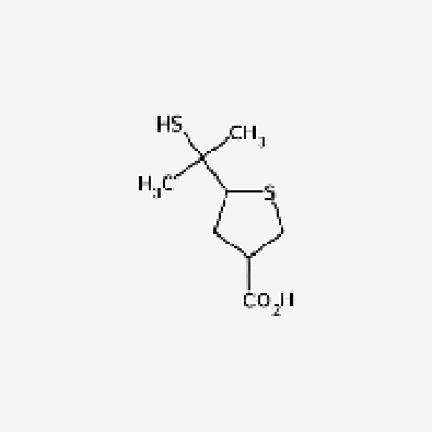 CC(C)(S)C1CC(C(=O)O)CS1